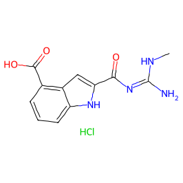 CNC(N)=NC(=O)c1cc2c(C(=O)O)cccc2[nH]1.Cl